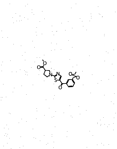 COC(=O)C1CCN(c2ncc(C(=O)c3cccc(S(C)(=O)=O)c3)s2)C1